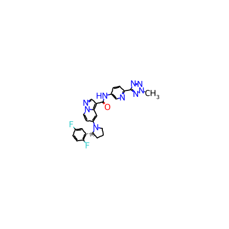 Cn1nnc(-c2ccc(NC(=O)c3cnn4ccc(N5CCC[C@@H]5c5cc(F)ccc5F)cc34)cn2)n1